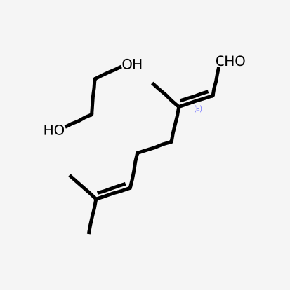 CC(C)=CCC/C(C)=C/C=O.OCCO